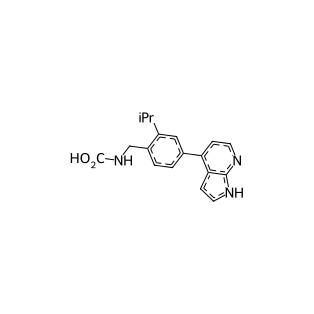 CC(C)c1cc(-c2ccnc3[nH]ccc23)ccc1CNC(=O)O